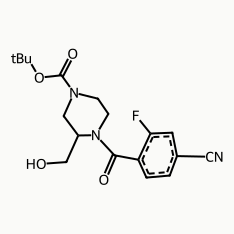 CC(C)(C)OC(=O)N1CCN(C(=O)c2ccc(C#N)cc2F)C(CO)C1